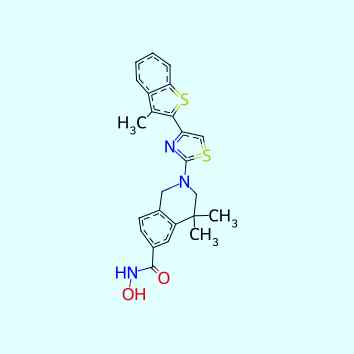 Cc1c(-c2csc(N3Cc4ccc(C(=O)NO)cc4C(C)(C)C3)n2)sc2ccccc12